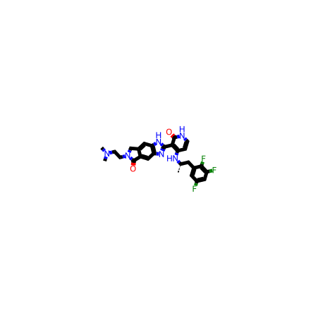 C[C@@H](Cc1cc(F)cc(F)c1F)Nc1cc[nH]c(=O)c1-c1nc2cc3c(cc2[nH]1)CN(CCN(C)C)C3=O